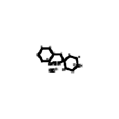 CC(=O)NC1(CC2CCCCC2)CCNCC1.Cl